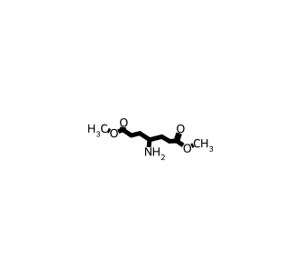 COC(=O)CCC(N)CCC(=O)OC